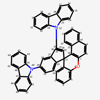 c1ccc2c(c1)Oc1ccc3ccccc3c1C21c2ccc(-n3c4ccccc4c4ccccc43)cc2-c2cc(-n3c4ccccc4c4ccccc43)ccc21